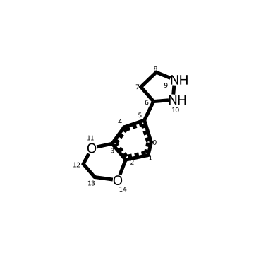 c1cc2c(cc1C1CCNN1)OCCO2